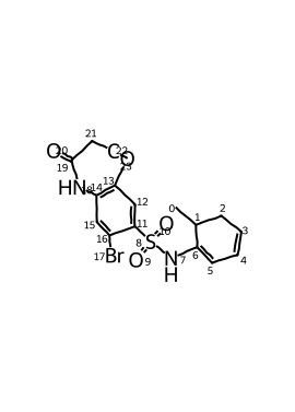 CC1CC=CC=C1NS(=O)(=O)c1cc2c(cc1Br)NC(=O)CCO2